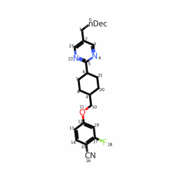 CCCCCCCCCCCc1cnc(C2CCC(COc3ccc(C#N)c(F)c3)CC2)nc1